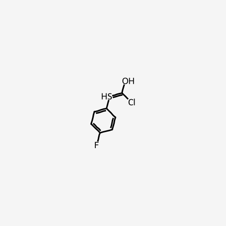 OC(Cl)=[SH]c1ccc(F)cc1